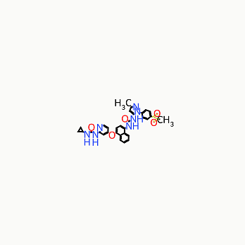 Cc1cc(NC(=O)Nc2ccc(Oc3ccnc(NC(=O)NC4CC4)c3)c3ccccc23)n(-c2ccc(S(C)(=O)=O)cc2)n1